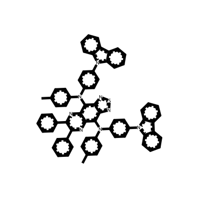 Cc1ccc(N(c2ccc(-n3c4ccccc4c4ccccc43)cc2)c2c3nsnc3c(N(c3ccc(C)cc3)c3ccc(-n4c5ccccc5c5ccccc54)cc3)c3nc(-c4ccccc4)c(-c4ccccc4)nc23)cc1